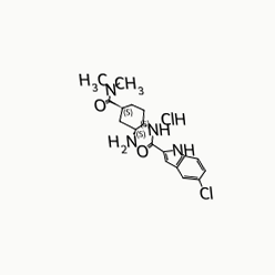 CN(C)C(=O)[C@H]1CC[C@H](NC(=O)c2cc3cc(Cl)ccc3[nH]2)[C@@H](N)C1.Cl